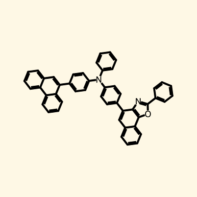 c1ccc(-c2nc3c(-c4ccc(N(c5ccccc5)c5ccc(-c6cc7ccccc7c7ccccc67)cc5)cc4)cc4ccccc4c3o2)cc1